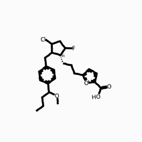 CCCC(OC)c1ccc(CC2C(Cl)CC(F)[C@@H]2CCCc2ccc(C(=O)O)o2)cc1